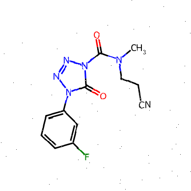 CN(CCC#N)C(=O)n1nnn(-c2cccc(F)c2)c1=O